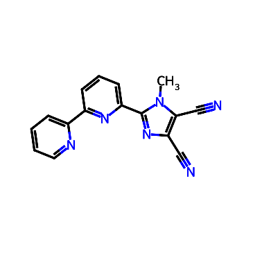 Cn1c(-c2cccc(-c3ccccn3)n2)nc(C#N)c1C#N